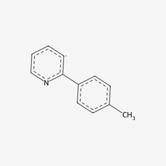 Cc1ccc(-c2[c]cccn2)cc1